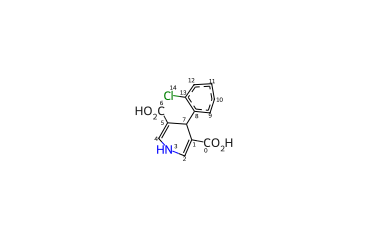 O=C(O)C1=CNC=C(C(=O)O)C1c1ccccc1Cl